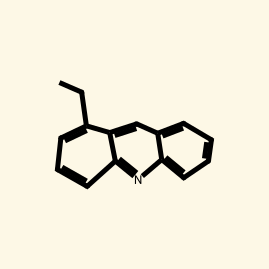 CCc1cccc2nc3ccccc3cc12